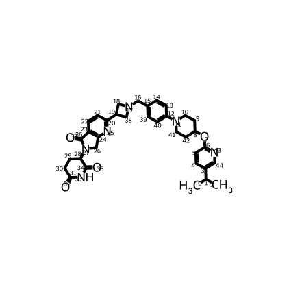 CC(C)c1ccc(OC2CCN(c3ccc(CN4CC(c5ccc6c(n5)CN(C5CCC(=O)NC5=O)C6=O)C4)cc3)CC2)nc1